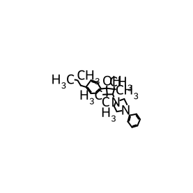 CC(C)Cc1ccc(C2(O)C(C)(C)C(N3CCN(c4ccccc4)CC3)C2(C)C)cc1